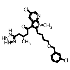 C[C@@H](CC(=O)c1c(CCCCOCc2cccc(Cl)c2)n(C)c2ncc(Cl)cc12)CC1=NNNN1